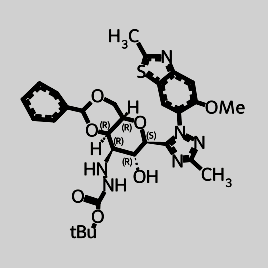 COc1cc2nc(C)sc2cc1-n1nc(C)nc1[C@@H]1O[C@@H]2COC(c3ccccc3)O[C@@H]2[C@H](NNC(=O)OC(C)(C)C)[C@H]1O